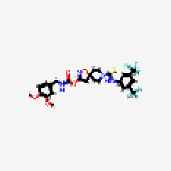 COc1ccc(CNC(=O)OC2=NOC3(CCN(C(=S)Nc4cc(C(F)(F)F)cc(C(F)(F)F)c4)CC3)C2)cc1OC